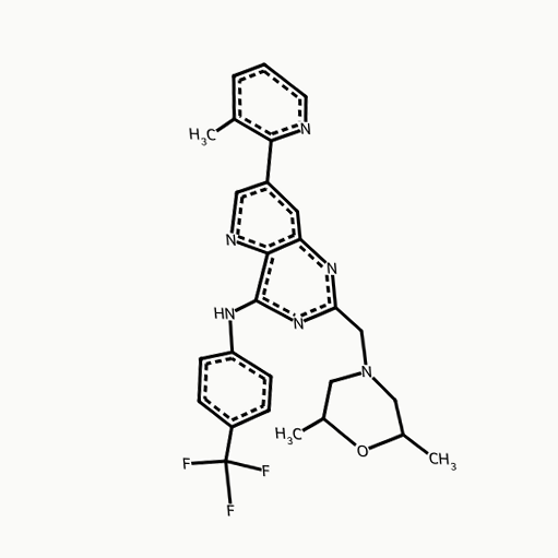 Cc1cccnc1-c1cnc2c(Nc3ccc(C(F)(F)F)cc3)nc(CN3CC(C)OC(C)C3)nc2c1